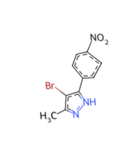 Cc1n[nH]c(-c2ccc([N+](=O)[O-])cc2)c1Br